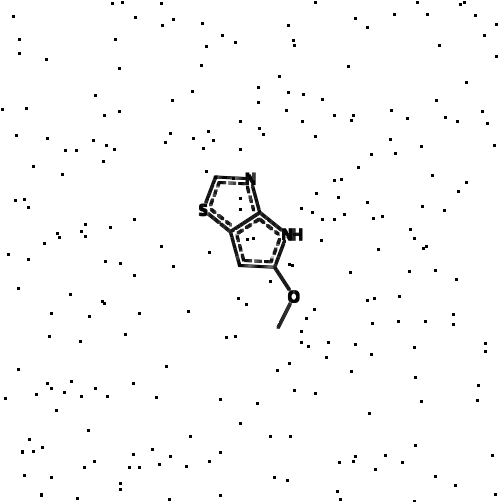 COc1cc2scnc2[nH]1